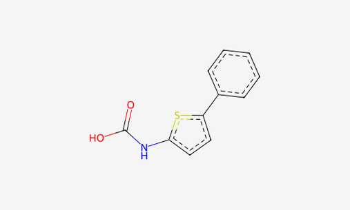 O=C(O)Nc1ccc(-c2ccccc2)s1